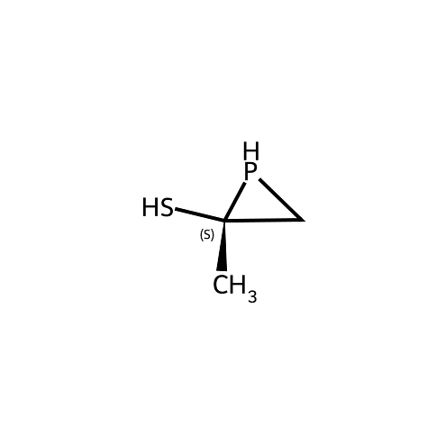 C[C@]1(S)CP1